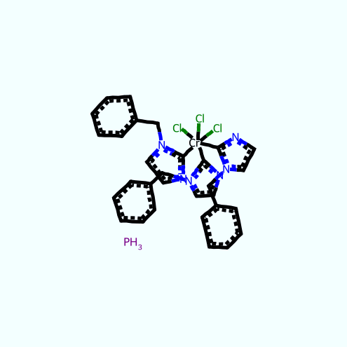 P.[Cl][Cr]([Cl])([Cl])([c]1nccn1Cc1ccccc1)([c]1nccn1Cc1ccccc1)[c]1nccn1Cc1ccccc1